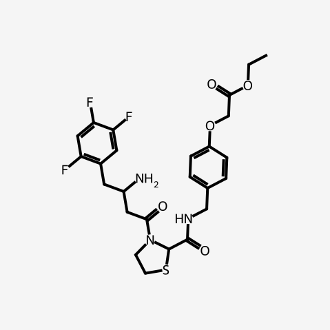 CCOC(=O)COc1ccc(CNC(=O)C2SCCN2C(=O)CC(N)Cc2cc(F)c(F)cc2F)cc1